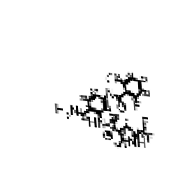 CC1NN(C(F)F)CC1S(=O)(=O)Nc1cc(NC(=O)c2c(F)cccc2Cl)ccc1CN